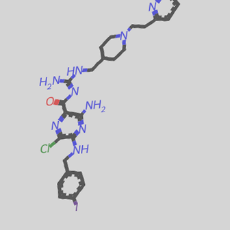 N/C(=N\C(=O)c1nc(Cl)c(NCc2ccc(I)cc2)nc1N)NCC1CCN(CCc2ccccn2)CC1